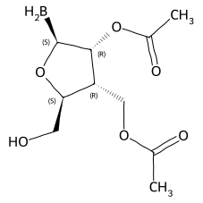 B[C@@H]1O[C@H](CO)[C@@H](COC(C)=O)[C@H]1OC(C)=O